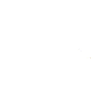 Brc1ccc(-c2c3ccccc3c(-c3ccc(-c4ccccc4)cc3)c3ccccc23)cn1